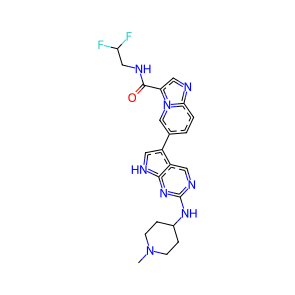 CN1CCC(Nc2ncc3c(-c4ccc5ncc(C(=O)NCC(F)F)n5c4)c[nH]c3n2)CC1